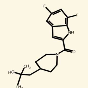 CC(C)(O)CC1CCN(C(=O)c2cc3cc(F)cc(F)c3[nH]2)CC1